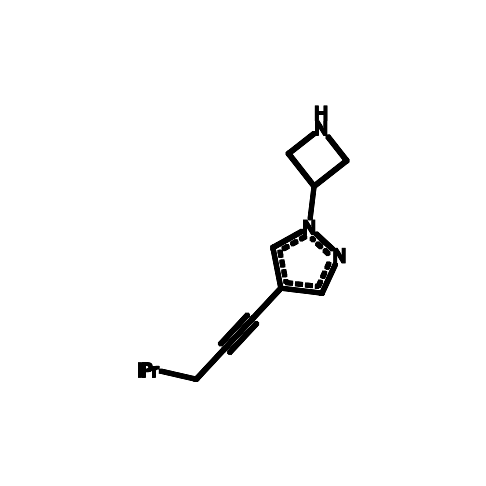 CC(C)CC#Cc1cnn(C2CNC2)c1